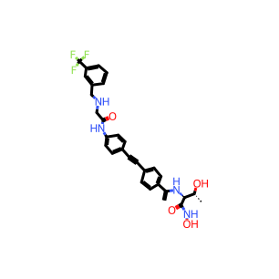 C=C(N[C@H](C(=O)NO)[C@@H](C)O)c1ccc(C#Cc2ccc(NC(=O)CNCc3cccc(C(F)(F)F)c3)cc2)cc1